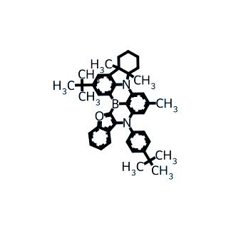 Cc1cc2c3c(c1)N1c4c(cc(C(C)(C)C)cc4C4(C)CCCCC14C)B3c1oc3ccccc3c1N2c1ccc(C(C)(C)C)cc1